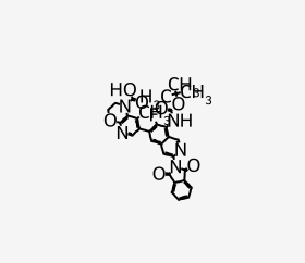 Cc1c(-c2cc3cc(N4C(=O)c5ccccc5C4=O)ncc3c(NC(=O)OC(C)(C)C)c2F)cnc2c1N(C(=O)O)CCO2